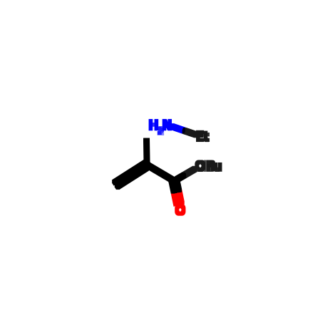 C=C(C)C(=O)OCC(C)C.CCN